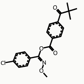 CON=C(OC(=O)c1ccc(C(=O)C(C)(C)C)cc1)c1ccc(Cl)cc1